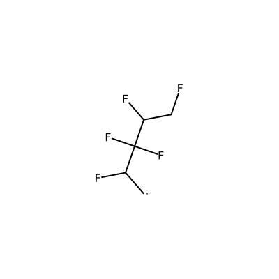 [CH2]C(F)C(F)(F)C(F)CF